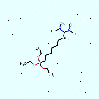 CCO[Si](CCCCCC[SiH2]C(N(C)C)N(C)C)(OCC)OCC